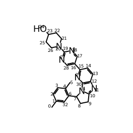 Cc1ccc(C)c(C2CCc3nc4ccc(-c5cnc(N6CCC(O)CC6)nc5)nc4n32)c1